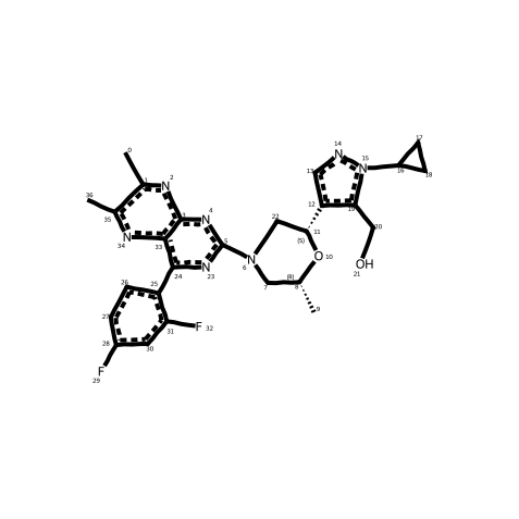 Cc1nc2nc(N3C[C@@H](C)O[C@@H](c4cnn(C5CC5)c4CO)C3)nc(-c3ccc(F)cc3F)c2nc1C